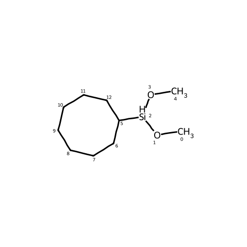 CO[SiH](OC)C1CCCCCCC1